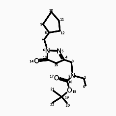 CCN(CC1=NN(CC2CCCC2)C(=O)C1)C(=O)OC(C)(C)C